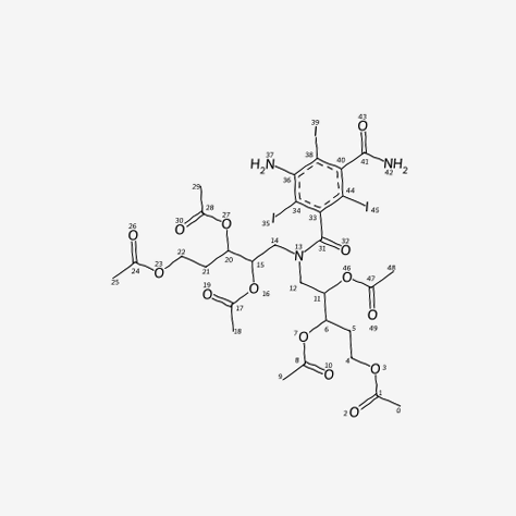 CC(=O)OCCC(OC(C)=O)C(CN(CC(OC(C)=O)C(CCOC(C)=O)OC(C)=O)C(=O)c1c(I)c(N)c(I)c(C(N)=O)c1I)OC(C)=O